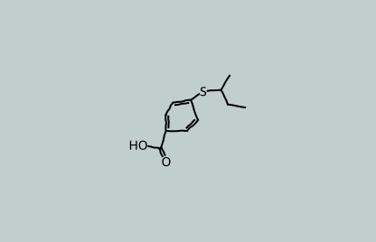 CCC(C)Sc1ccc(C(=O)O)cc1